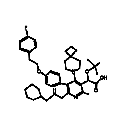 Cc1nc(CNCC2CCCCC2)c(-c2ccc(OCCc3ccc(F)cc3)cc2)c(N2CCC3(CCC3)CC2)c1C(OC(C)(C)C)C(=O)O